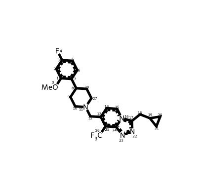 COc1cc(F)ccc1C1CCN(Cc2ccn3c(CC4CC4)nnc3c2C(F)(F)F)CC1